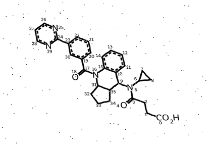 O=C(O)CCC(=O)N(C1CC1)C1c2ccccc2N(C(=O)c2cccc(-c3ncccn3)c2)C2CCCC21